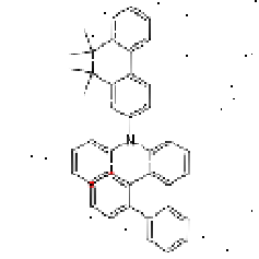 CC1(C)c2ccccc2-c2ccc(N(c3ccccc3)c3ccccc3-c3ccccc3-c3ccccc3)cc2C1(C)C